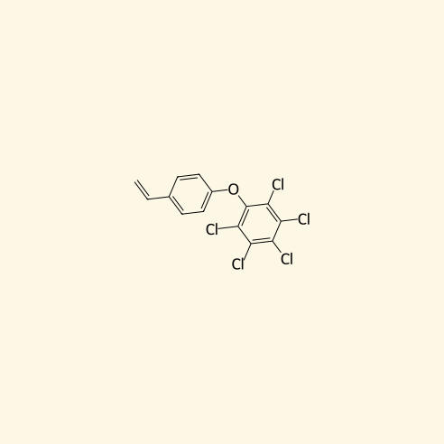 C=Cc1ccc(Oc2c(Cl)c(Cl)c(Cl)c(Cl)c2Cl)cc1